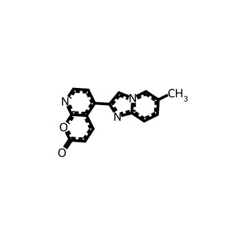 Cc1ccc2nc(-c3ccnc4oc(=O)ccc34)cn2c1